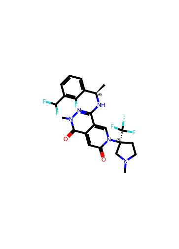 C[C@@H](Nc1nn(C)c(=O)c2cc(=O)n([C@@]3(C(F)(F)F)CCN(C)C3)cc12)c1cccc(C(F)F)c1F